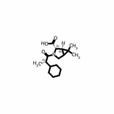 C[C@H](C(=O)N1CC2[C@@H]([C@H]1C(=O)O)C2(C)C)C1CCCCC1